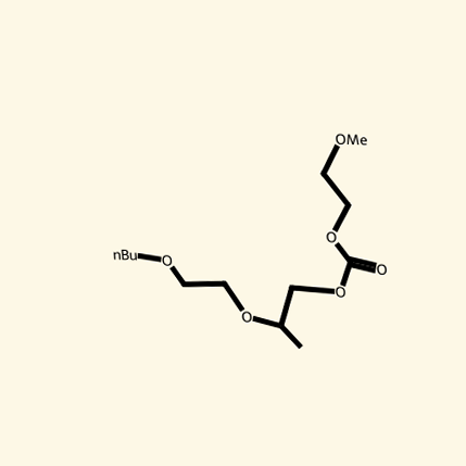 CCCCOCCOC(C)COC(=O)OCCOC